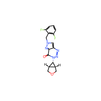 O=c1c2nn(Cc3c(F)cccc3F)cc2nnn1[C@@H]1[C@@H]2COC[C@@H]21